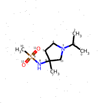 CC(C)N1CCC(C)(NS(C)(=O)=O)C1